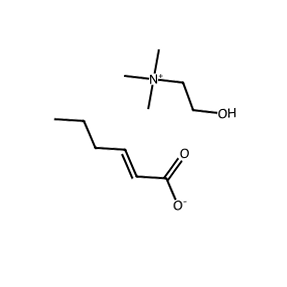 CCCC=CC(=O)[O-].C[N+](C)(C)CCO